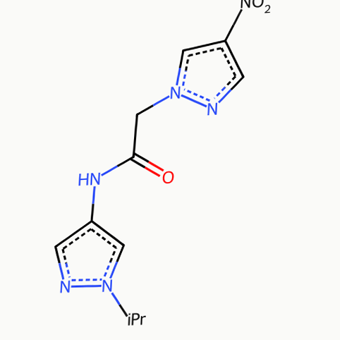 CC(C)n1cc(NC(=O)Cn2cc([N+](=O)[O-])cn2)cn1